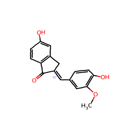 COc1cc(/C=C2\Cc3cc(O)ccc3C2=O)ccc1O